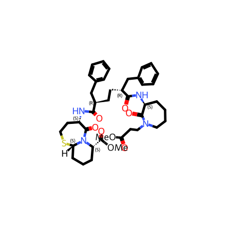 COC(=O)CCN1CCCC[C@H](NC(=O)[C@H](CC[C@H](Cc2ccccc2)C(=O)N[C@H]2CCS[C@H]3CCC[C@@H](C(=O)OC)N3C2=O)Cc2ccccc2)C1=O